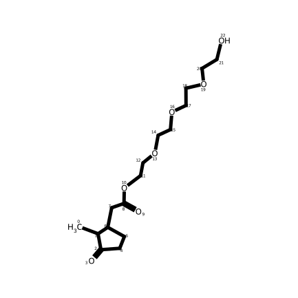 CC1C(=O)CCC1CC(=O)OCCOCCOCCOCCO